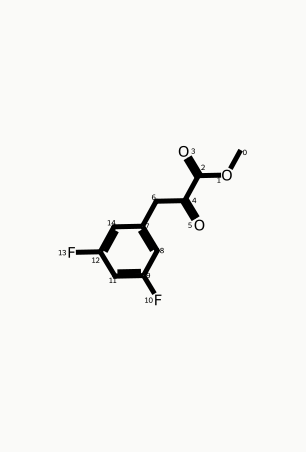 COC(=O)C(=O)Cc1cc(F)cc(F)c1